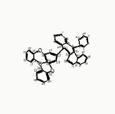 c1ccc(-c2c3ccccc3c(-c3cc4c5c(c3)Oc3ccccc3B5c3ccccc3O4)c3ccc4ccccc4c23)cc1